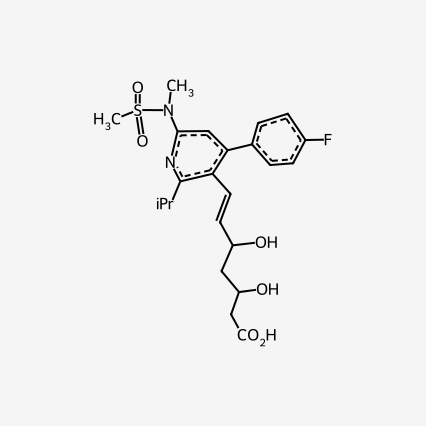 CC(C)c1nc(N(C)S(C)(=O)=O)cc(-c2ccc(F)cc2)c1/C=C/C(O)CC(O)CC(=O)O